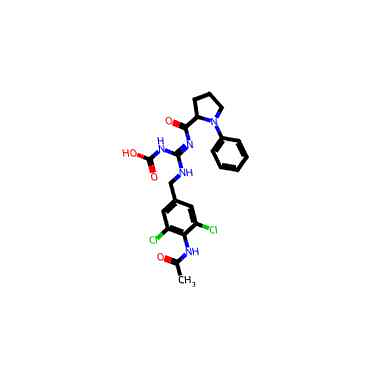 CC(=O)Nc1c(Cl)cc(CN/C(=N/C(=O)C2CCCN2c2ccccc2)NC(=O)O)cc1Cl